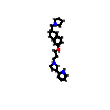 c1ccc(C2CCN(CCCOc3ccc4c(c3)CCC(CN3CCCC3)C4)C2)nc1